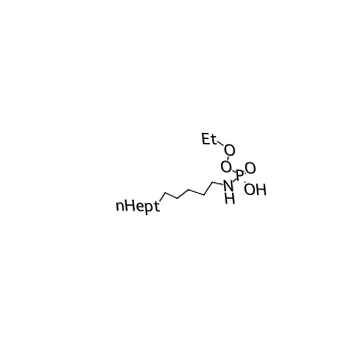 CCCCCCCCCCCCNP(=O)(O)OOCC